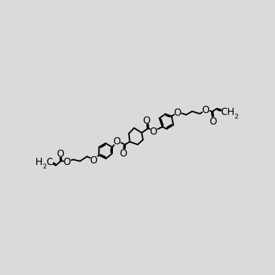 C=CC(=O)OCCCOc1ccc(OC(=O)C2CCC(C(=O)Oc3ccc(OCCCOC(=O)C=C)cc3)CC2)cc1